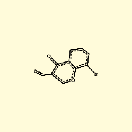 O=Cc1coc2c(Br)cccc2c1=O